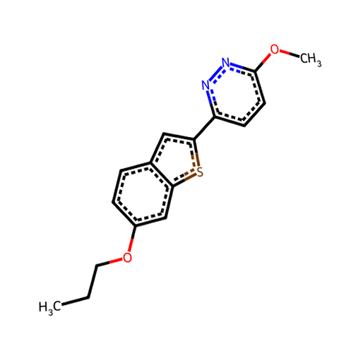 CCCOc1ccc2cc(-c3ccc(OC)nn3)sc2c1